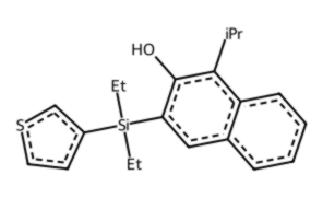 CC[Si](CC)(c1ccsc1)c1cc2ccccc2c(C(C)C)c1O